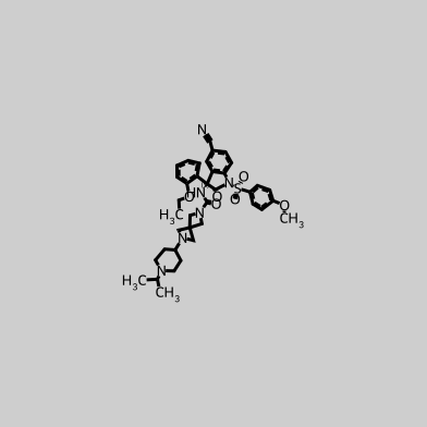 CCOc1ccccc1[C@]1(NC(=O)N2CC3(C2)CN(C2CCN(C(C)C)CC2)C3)C(=O)N(S(=O)(=O)c2ccc(OC)cc2)c2ccc(C#N)cc21